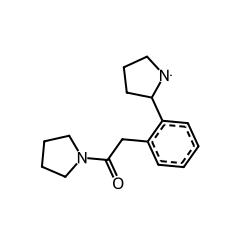 O=C(Cc1ccccc1C1CCC[N]1)N1CCCC1